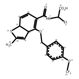 CCC(NC(=O)C1=C(OCc2ccc(OC(F)(F)F)cc2)C2C=C(C)SC2C=C1)C(=O)O